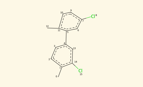 Cc1ccc(-c2cc(Cl)ccc2C)cc1Cl